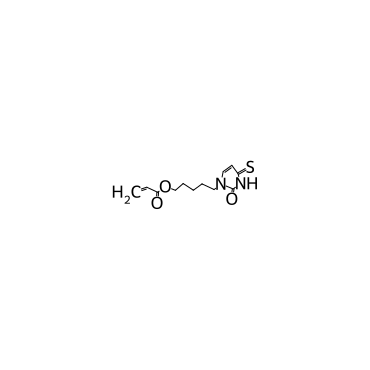 C=CC(=O)OCCCCCn1ccc(=S)[nH]c1=O